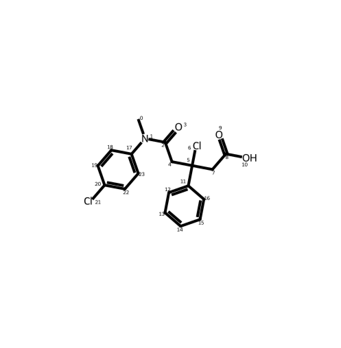 CN(C(=O)CC(Cl)(CC(=O)O)c1ccccc1)c1ccc(Cl)cc1